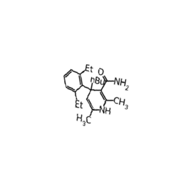 CCCCC1(c2c(CC)cccc2CC)C=C(C)NC(C)=C1C(N)=O